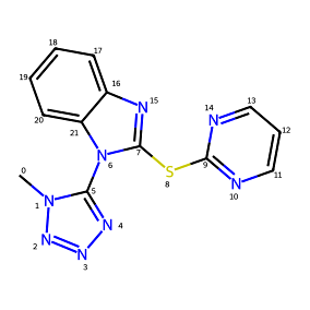 Cn1nnnc1-n1c(Sc2ncccn2)nc2ccccc21